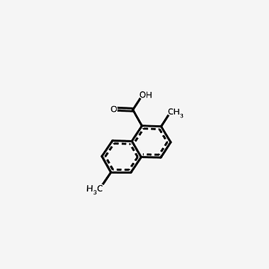 Cc1ccc2c(C(=O)O)c(C)ccc2c1